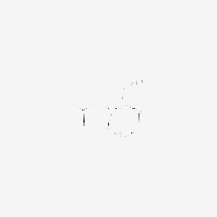 C=Cc1[c]cccc1OC(F)F